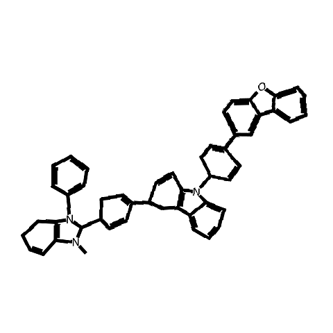 CN1C2=C(CCC=C2)N(c2ccccc2)C1C1C=CC(C2C=Cc3c(c4ccccc4n3C3C=CC(c4ccc5oc6ccccc6c5c4)=CC3)C2)=CC1